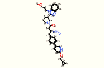 COCCCn1c([C@@H]2CCCN(C(=O)C[C@H](N)Cc3ccc(-c4ccc(OCC5CC5)nc4)cc3)C2)nc2ccccc21